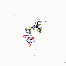 O=C1CCC(N2Cc3cc(SC4CN(C(c5cccs5)c5cccs5)C4)ccc3C2=O)C(=O)N1